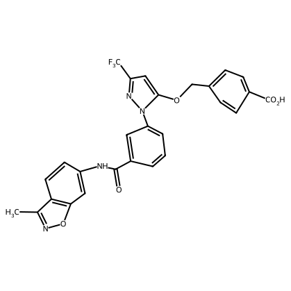 Cc1noc2cc(NC(=O)c3cccc(-n4nc(C(F)(F)F)cc4OCc4ccc(C(=O)O)cc4)c3)ccc12